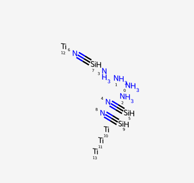 N.N.N.N.N#[SiH].N#[SiH].N#[SiH].[Ti].[Ti].[Ti].[Ti]